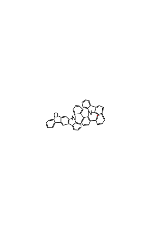 c1ccc(-c2cccc(-c3ccccc3-n3c4ccccc4c4cc5c(cc43)oc3ccccc35)c2-n2c3ccccc3c3ccccc32)cc1